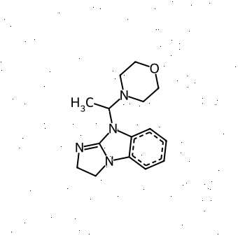 CC(N1CCOCC1)N1C2=NCCN2c2ccccc21